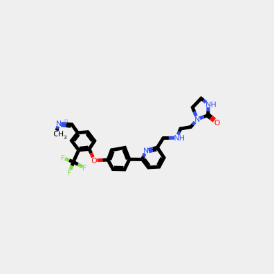 C/N=C\c1ccc(Oc2ccc(-c3cccc(CNCCN4CCNC4=O)n3)cc2)c(C(F)(F)F)c1